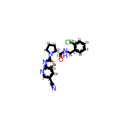 N#Cc1cnc2nc(N3CCC[C@@H]3C(=O)NCc3ccccc3Cl)sc2c1